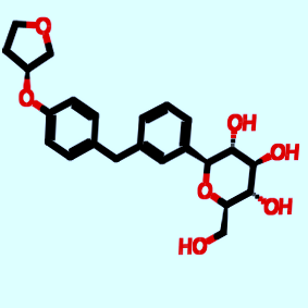 OC[C@H]1O[C@@H](c2cccc(Cc3ccc(O[C@H]4CCOC4)cc3)c2)[C@H](O)[C@@H](O)[C@@H]1O